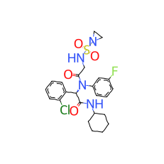 O=C(NC1CCCCC1)[C@@H](c1ccccc1Cl)N(C(=O)CNS(=O)(=O)N1CC1)c1cccc(F)c1